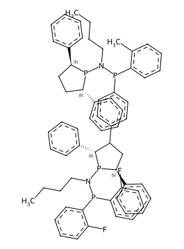 CCCCN(P(c1ccccc1F)c1ccccc1F)P1[C@H](c2ccccc2)C(c2ccc(P(c3ccccc3C)N(CCCC)P3[C@H](c4ccccc4)CC[C@H]3c3ccccc3)cc2)C[C@H]1c1ccccc1